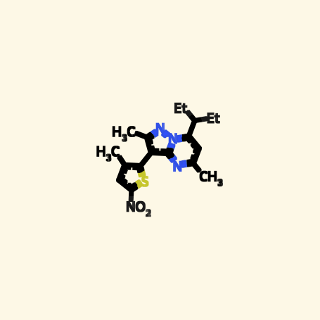 CCC(CC)c1cc(C)nc2c(-c3sc([N+](=O)[O-])cc3C)c(C)nn12